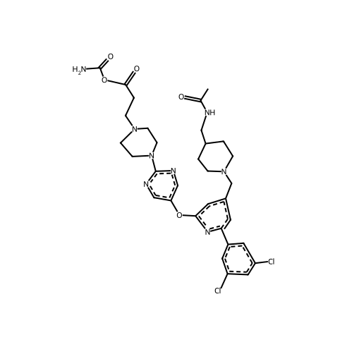 CC(=O)NCC1CCN(Cc2cc(Oc3cnc(N4CCN(CCC(=O)OC(N)=O)CC4)nc3)nc(-c3cc(Cl)cc(Cl)c3)c2)CC1